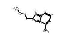 COCCC1C=c2c(N)cccc2=N1